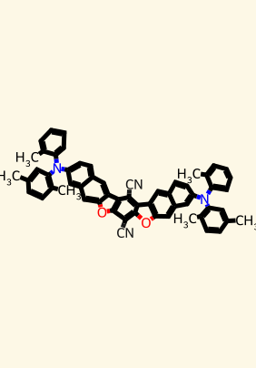 Cc1ccc(C)c(N(c2ccc3cc4c(cc3c2)oc2c(C#N)c3oc5cc6cc(N(c7ccccc7C)c7cc(C)ccc7C)ccc6cc5c3c(C#N)c24)c2ccccc2C)c1